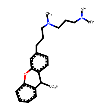 CCCN(CCC)CCCN(C)CCCc1ccc2c(c1)Oc1ccccc1C2C(=O)O